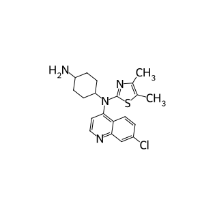 Cc1nc(N(c2ccnc3cc(Cl)ccc23)C2CCC(N)CC2)sc1C